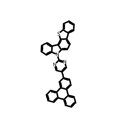 c1ccc2c(c1)sc1c2ccc2c1c1ccccc1n2-c1ncc(-c2ccc3c4ccccc4c4ccccc4c3c2)cn1